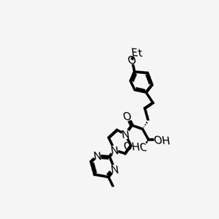 CCOc1ccc(CCC[C@@H](C(=O)N2CCN(c3nccc(C)n3)CC2)[C@H](O)C=O)cc1